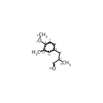 COc1ccc(CC(C)C=O)cc1C